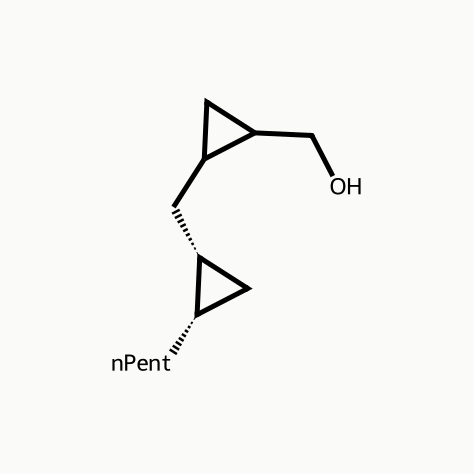 CCCCC[C@H]1C[C@H]1CC1CC1CO